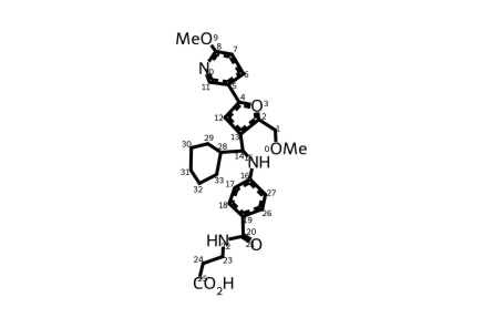 COCc1oc(-c2ccc(OC)nc2)cc1C(Nc1ccc(C(=O)NCCC(=O)O)cc1)C1CCCCC1